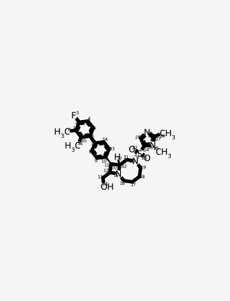 Cc1c(F)ccc(-c2ccc([C@@H]3C(CO)N4CCCCN(S(=O)(=O)c5cnc(C)n5C)C[C@@H]34)cc2)c1C